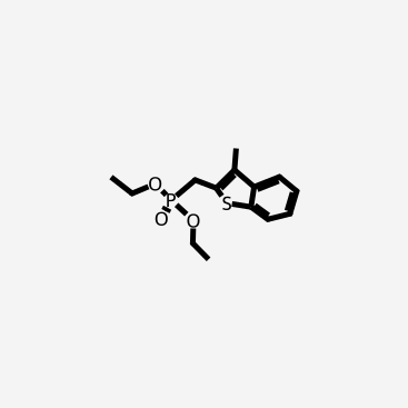 CCOP(=O)(Cc1sc2ccccc2c1C)OCC